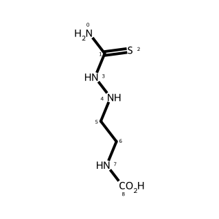 NC(=S)NNCCNC(=O)O